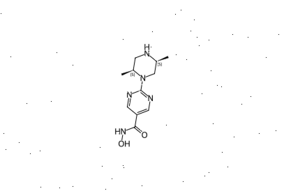 C[C@H]1CN(c2ncc(C(=O)NO)cn2)[C@@H](C)CN1